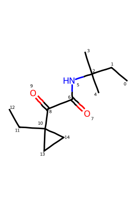 CCC(C)(C)NC(=O)C(=O)C1(CC)CC1